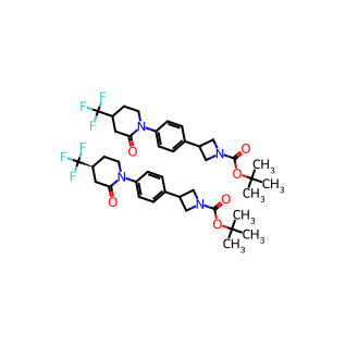 CC(C)(C)OC(=O)N1CC(c2ccc(N3CCC(C(F)(F)F)CC3=O)cc2)C1.CC(C)(C)OC(=O)N1CC(c2ccc(N3CC[C@H](C(F)(F)F)CC3=O)cc2)C1